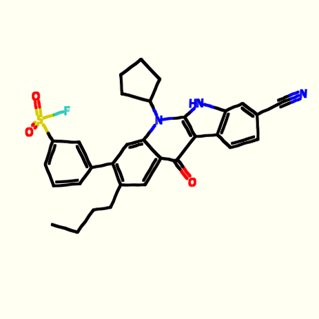 CCCCc1cc2c(=O)c3c4ccc(C#N)cc4[nH]c3n(C3CCCC3)c2cc1-c1cccc(S(=O)(=O)F)c1